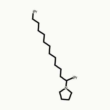 CC(C)CCCCCCCCCCCC(C(C)C)N1CCCC1